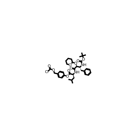 CC(C)C[C@H](NC(=O)[C@@H](OC1CCCCO1)[C@@H](Cc1ccccc1)NC(=O)OC(C)(C)C)C(=O)Oc1ccc(COC(=O)Cl)cc1